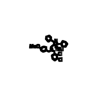 CCCCn1c(-c2ccccc2)nc(-c2ccccc2)c1CN(Cc1ccc(OC)cc1)Cc1cccc(Cl)c1Cl